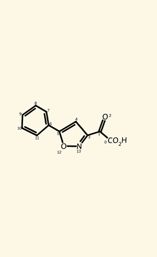 O=C(O)C(=O)c1cc(-c2ccccc2)on1